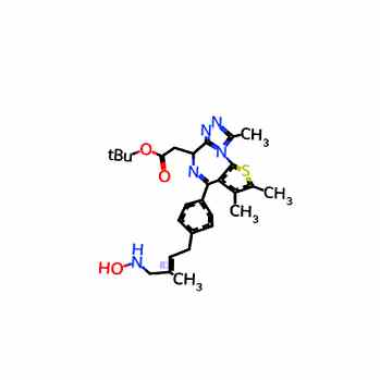 C/C(=C\Cc1ccc(C2=NC(CC(=O)OC(C)(C)C)c3nnc(C)n3-c3sc(C)c(C)c32)cc1)CNO